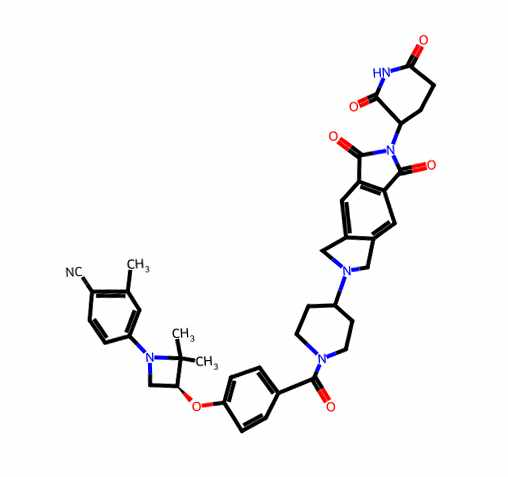 Cc1cc(N2C[C@H](Oc3ccc(C(=O)N4CCC(N5Cc6cc7c(cc6C5)C(=O)N(C5CCC(=O)NC5=O)C7=O)CC4)cc3)C2(C)C)ccc1C#N